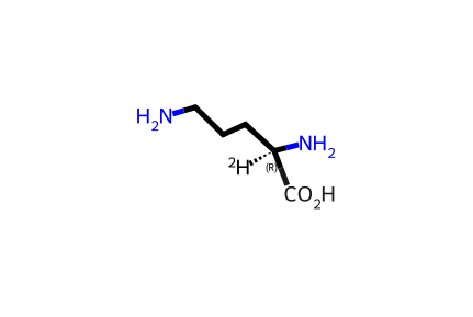 [2H][C@@](N)(CCCN)C(=O)O